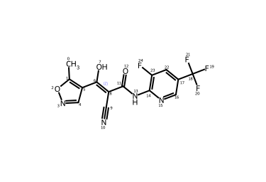 Cc1oncc1/C(O)=C(\C#N)C(=O)Nc1ncc(C(F)(F)F)cc1F